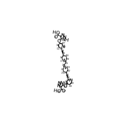 O=C(O)c1nn[nH]c1Oc1ccc(C#CC2CCN(CCN3CCC(C#Cc4cc(Oc5[nH]nnc5C(=O)O)ccn4)CC3)CC2)nc1